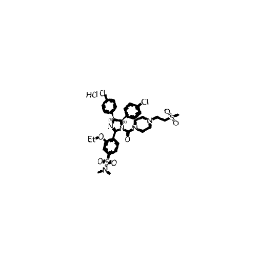 CCOc1cc(S(=O)(=O)N(C)C)ccc1C1=N[C@@H](c2ccc(Cl)cc2)[C@@H](c2ccc(Cl)cc2)N1C(=O)N1CCN(CCS(C)(=O)=O)CC1.Cl